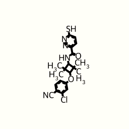 CC1(C)C(NC(=O)c2ccc(S)nn2)C(C)(C)C1Oc1ccc(C#N)c(Cl)c1